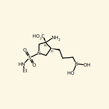 CCNS(=O)(=O)N1C[C@H](CCCB(O)O)[C@](N)(C(=O)O)C1